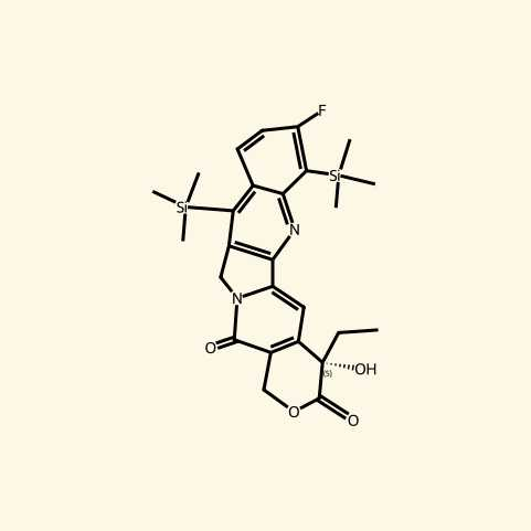 CC[C@@]1(O)C(=O)OCc2c1cc1n(c2=O)Cc2c-1nc1c([Si](C)(C)C)c(F)ccc1c2[Si](C)(C)C